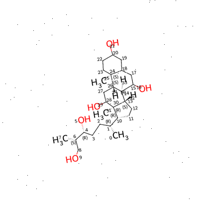 C[C@H](CC[C@@H](O)[C@@H](C)CO)[C@H]1CC[C@H]2[C@@H]3C(O)CC4CC(O)CC[C@]4(C)[C@H]3CC(O)[C@]12C